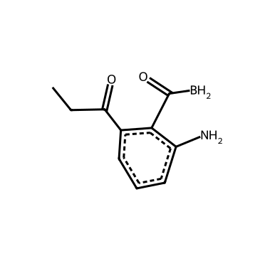 BC(=O)c1c(N)cccc1C(=O)CC